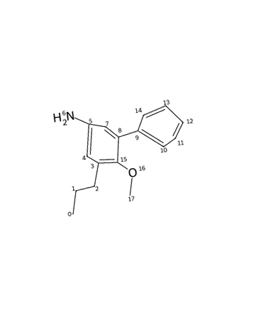 CCCc1cc(N)cc(-c2ccccc2)c1OC